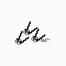 CCCCCCC(C)OP(=O)([O-])C(C)CCCCCC.CCCCCCC(C)OP(=O)([O-])C(C)CCCCCC.CCCCCCC(C)OP(=O)([O-])C(C)CCCCCC.[Nd+3]